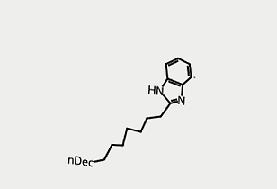 CCCCCCCCCCCCCCCCCc1nc2[c]cccc2[nH]1